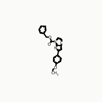 CCOc1ccc(-c2cc3cccn(C(=O)OCc4ccccc4)c-3n2)cc1